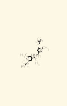 Cc1cc(C(C)NC(=O)c2cc(OCC(F)(F)C(F)(F)F)n(C)n2)cc(NC(=O)C(C)C)n1